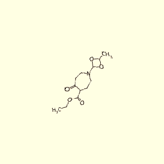 CCOC(=O)C1CCN(C2OC(C)O2)CCC1=O